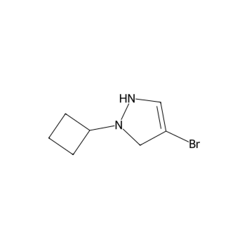 BrC1=CNN(C2CCC2)C1